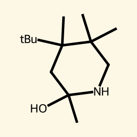 CC1(O)CC(C)(C(C)(C)C)C(C)(C)CN1